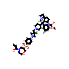 C=CC(=O)N1CCOC[C@@H](S(=O)(=O)c2ccc(N3CC(F)(CN4CCC([C@@](CN5CCC5)(c5cccc(F)c5)[C@H]5CCC[C@@H]5NC(=O)OC)CC4)C3)cc2)C1